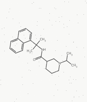 CC(C)N1CCCC(C(=O)NC(C)(C)c2cccc3ccccc23)C1